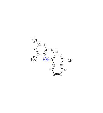 N#Cc1ccc(Nc2c([N+](=O)[O-])cc([N+](=O)[O-])cc2C(F)(F)F)c2ccccc12